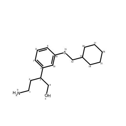 NCCC(CO)c1cccc(SCC2CCCCC2)c1